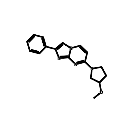 COC1CCN(c2ccn3cc(-c4ccccc4)nc3n2)C1